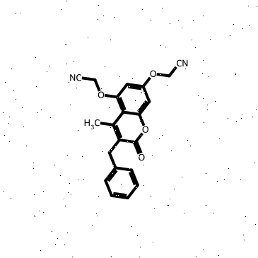 Cc1c(Cc2ccccc2)c(=O)oc2cc(OCC#N)cc(OCC#N)c12